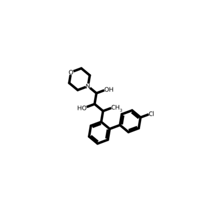 CC(c1ccccc1-c1ccc(Cl)cc1)C(O)C(O)N1CCOCC1